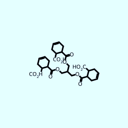 O=C(O)C1CC=CCC1C(=O)OCC(COC(=O)C1CC=CCC1C(=O)O)COC(=O)C1CC=CCC1C(=O)O